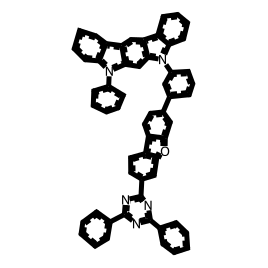 c1ccc(-c2nc(-c3ccccc3)nc(-c3ccc4c(c3)oc3cc(-c5cccc(-n6c7ccccc7c7cc8c9ccccc9n(-c9ccccc9)c8cc76)c5)ccc34)n2)cc1